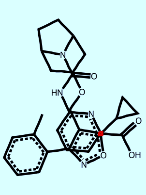 Cc1ccccc1-c1noc(C2CC2)c1COC1CC2CCC(C1)N2C(=O)Nc1cccc(C(=O)O)n1